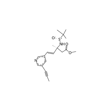 CC#Cc1cncc(/C=C/[C@](C)(CC(=O)OC)N[S@+]([O-])C(C)(C)C)c1